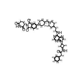 O=C1CC[C@H](N2C(=O)c3ccc(N4CCC(CN5CCC(CCNc6ncnc7c6ncn7C6CC(NC(=O)Cc7ccccc7)C6)CC5)CC4)cc3C2=O)C(=O)N1